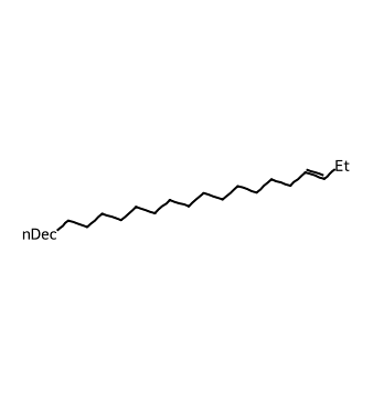 [CH2]C/C=C/CCCCCCCCCCCCCCCCCCCCCCC[CH2]